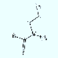 CCCCCN(N)C(=S)S